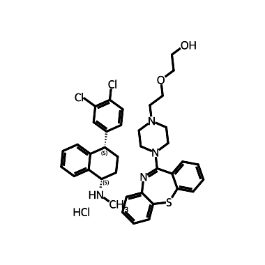 CN[C@H]1CC[C@@H](c2ccc(Cl)c(Cl)c2)c2ccccc21.Cl.OCCOCCN1CCN(C2=Nc3ccccc3Sc3ccccc32)CC1